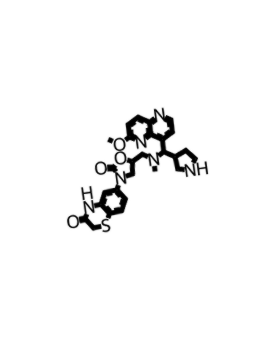 COc1ccc2nccc(C(C3CCNC3)N(C)CC3CN(c4ccc5c(c4)NC(=O)CS5)C(=O)O3)c2n1